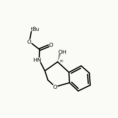 CC(C)(C)OC(=O)NC1COc2ccccc2[C@H]1O